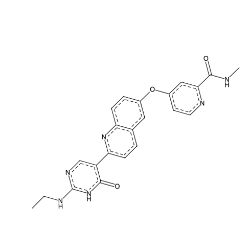 CCNc1ncc(-c2ccc3cc(Oc4ccnc(C(=O)NC)c4)ccc3n2)c(=O)[nH]1